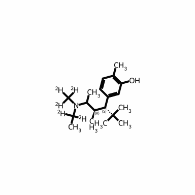 [2H]C([2H])([2H])N(C(C)[C@H](C)[C@H](c1ccc(C)c(O)c1)C(C)(C)C)C([2H])([2H])C